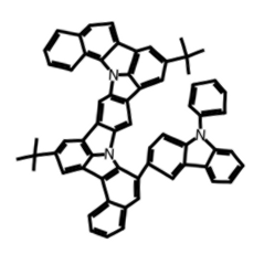 CC(C)(C)c1cc2c3cc4c(cc3n3c5c(-c6ccc7c(c6)c6ccccc6n7-c6ccccc6)cc6ccccc6c5c(c1)c23)c1cc(C(C)(C)C)cc2c3ccc5ccccc5c3n4c12